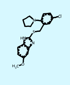 COc1ccc2[nH]c(SCc3cc(Cl)ccc3N3CCCC3)nc2c1